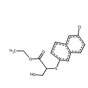 CCOC(=O)C(CO)Sc1ccc2cc(Cl)ccc2c1